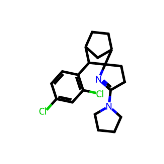 Clc1ccc(C2C3CCC(C3)C23CCC(N2CCCC2)=N3)c(Cl)c1